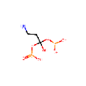 NCCC(O)(OP(O)O)O[PH](=O)O